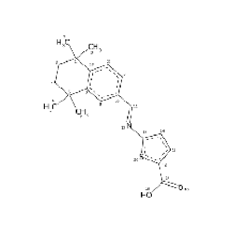 CC1(C)CCC(C)(C)c2cc(C=Nc3ccc(C(=O)O)s3)ccc21